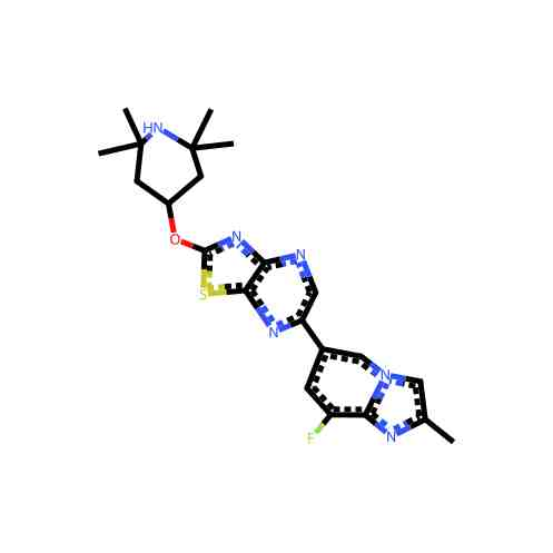 Cc1cn2cc(-c3cnc4nc(OC5CC(C)(C)NC(C)(C)C5)sc4n3)cc(F)c2n1